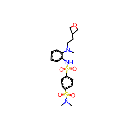 CN(CCC1COC1)c1ccccc1NS(=O)(=O)c1ccc(S(=O)(=O)N(C)C)cc1